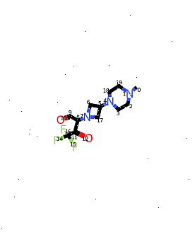 CN1CCN(C2CN(C(C=O)C(=O)C(F)(F)F)C2)CC1